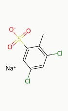 Cc1c(Cl)cc(Cl)cc1S(=O)(=O)[O-].[Na+]